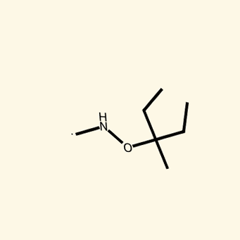 [CH2]NOC(C)(CC)CC